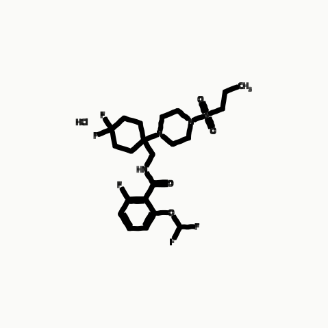 CCCS(=O)(=O)N1CCN(C2(CNC(=O)c3c(F)cccc3OC(F)F)CCC(F)(F)CC2)CC1.Cl